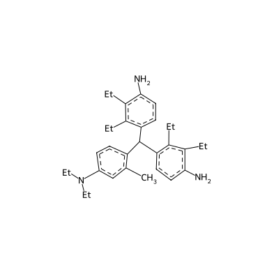 CCc1c(N)ccc(C(c2ccc(N(CC)CC)cc2C)c2ccc(N)c(CC)c2CC)c1CC